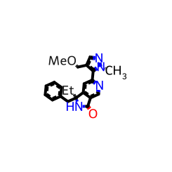 CCC1(Cc2ccccc2)NC(=O)c2cnc(-c3c(COC)cnn3C)cc21